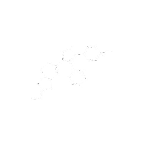 CCC1CC2C=C(c3c[nH]c(-c4ccc(Cl)cc4)c3-c3ccncc3)CCN2C1